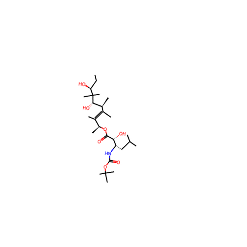 CC[C@H](O)C(C)(C)[C@@H](O)[C@@H](C)/C(C)=C(\C)[C@H](C)OC(=O)[C@H](O)[C@H](CC(C)C)NC(=O)OC(C)(C)C